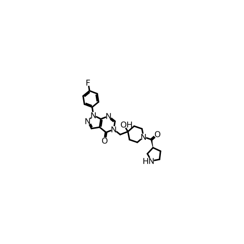 O=C([C@H]1CCNC1)N1CCC(O)(Cn2cnc3c(cnn3-c3ccc(F)cc3)c2=O)CC1